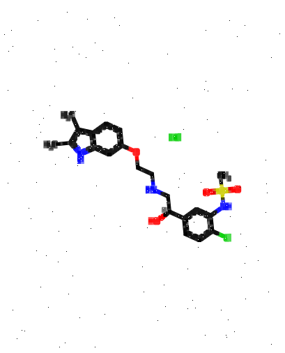 Cc1[nH]c2cc(OCCNC[C@H](O)c3ccc(Cl)c(NS(C)(=O)=O)c3)ccc2c1C.Cl